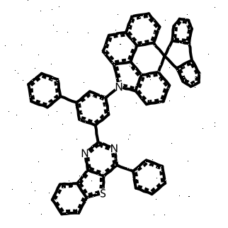 c1ccc(-c2cc(-c3nc(-c4ccccc4)c4sc5ccccc5c4n3)cc(-n3c4cccc5c4c4c6c(cccc6ccc43)C53c4ccccc4-c4ccccc43)c2)cc1